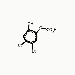 CCc1cc(O)c(OC(=O)O)cc1CC